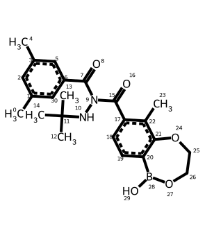 Cc1cc(C)cc(C(=O)N(NC(C)(C)C)C(=O)c2ccc3c(c2C)OCCOB3O)c1